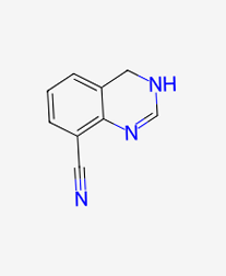 N#Cc1cccc2c1N=CNC2